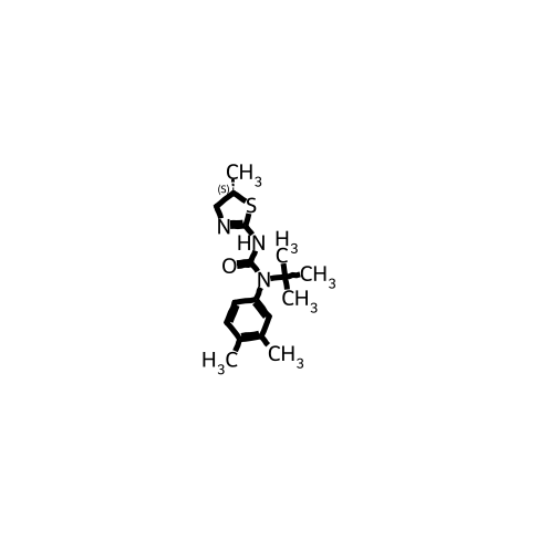 Cc1ccc(N(C(=O)NC2=NC[C@H](C)S2)C(C)(C)C)cc1C